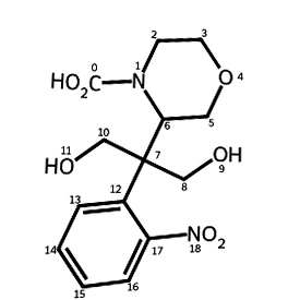 O=C(O)N1CCOCC1C(CO)(CO)c1ccccc1[N+](=O)[O-]